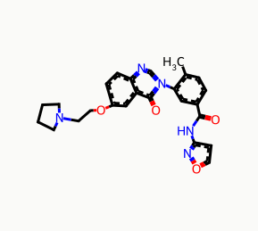 Cc1ccc(C(=O)Nc2ccon2)cc1-n1cnc2ccc(OCCN3CCCC3)cc2c1=O